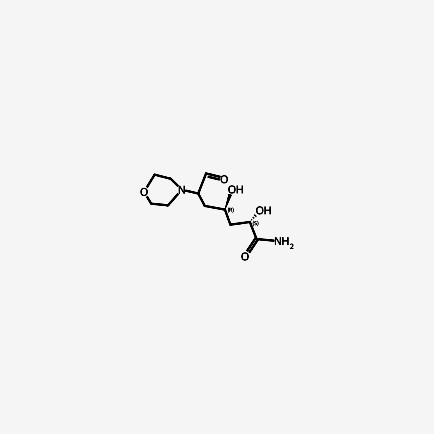 NC(=O)[C@@H](O)C[C@H](O)CC(C=O)N1CCOCC1